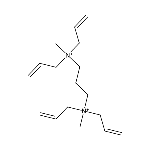 C=CC[N+](C)(CC=C)CCC[N+](C)(CC=C)CC=C